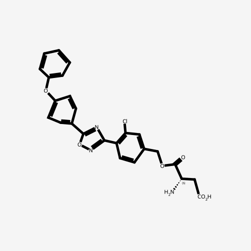 N[C@@H](CC(=O)O)C(=O)OCc1ccc(-c2noc(-c3ccc(Oc4ccccc4)cc3)n2)c(Cl)c1